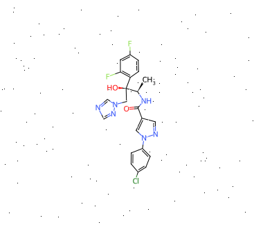 C[C@@H](NC(=O)c1cnn(-c2ccc(Cl)cc2)c1)[C@](O)(Cn1cncn1)c1ccc(F)cc1F